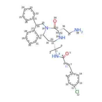 CC(C)(NC(=O)/C=C/c1ccc(Cl)cc1)[C@@H]1CCN(CC(c2ccccc2)c2ccccc2)C(=O)[C@H](CCN)N1